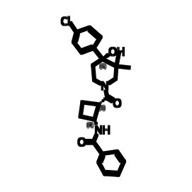 CC1(C)CN(C(=O)[C@H]2CC[C@H]2NC(=O)c2ccccc2)CC[C@]1(O)c1ccc(Cl)cc1